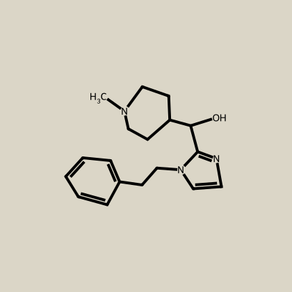 CN1CCC(C(O)c2nccn2CCc2ccccc2)CC1